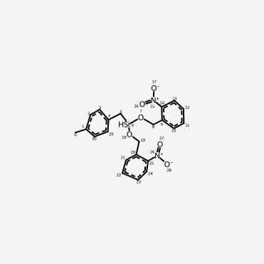 Cc1ccc(C[SiH](OCc2ccccc2[N+](=O)[O-])OCc2ccccc2[N+](=O)[O-])cc1